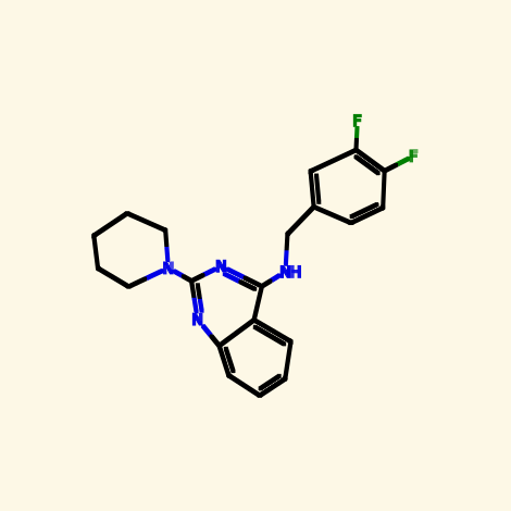 Fc1ccc(CNc2nc(N3CCCCC3)nc3ccccc23)cc1F